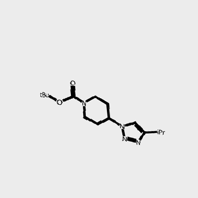 CC(C)c1cn(C2CCN(C(=O)OC(C)(C)C)CC2)nn1